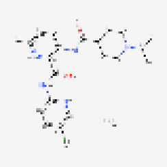 Cc1ccc(NC(=O)C2CCN(C(C)C)CC2)c(C(=O)Nc2ccc(Cl)cn2)n1.Cl